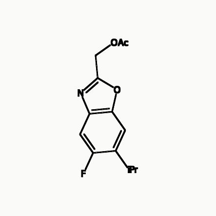 CC(=O)OCc1nc2cc(F)c(C(C)C)cc2o1